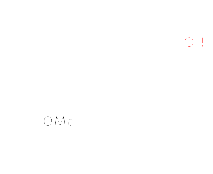 COc1cc(C)ccc1-c1ccc(C)cc1CO